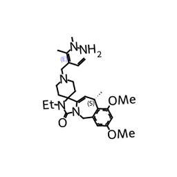 C=C/C(CN1CCC2(CC1)C1=C[C@H](C)c3c(cc(OC)cc3OC)CN1C(=O)N2CC)=C(/C)N(C)N